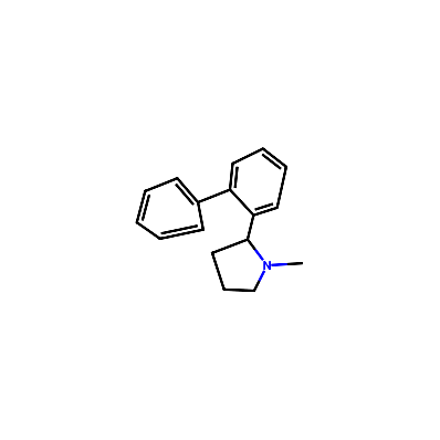 CN1CCCC1c1ccccc1-c1ccccc1